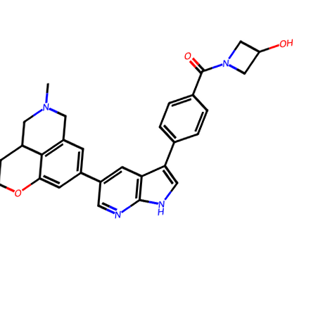 CN1Cc2cc(-c3cnc4[nH]cc(-c5ccc(C(=O)N6CC(O)C6)cc5)c4c3)cc3c2C(CCO3)C1